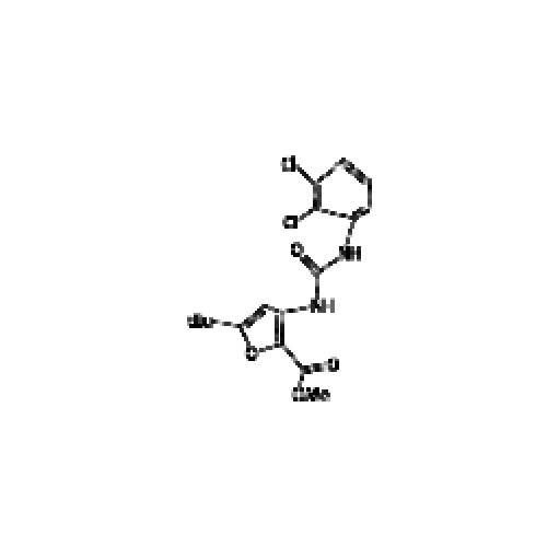 COC(=O)c1oc(C(C)(C)C)cc1NC(=O)Nc1cccc(Cl)c1Cl